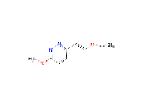 CCOC=Cc1ccc(OC)nn1